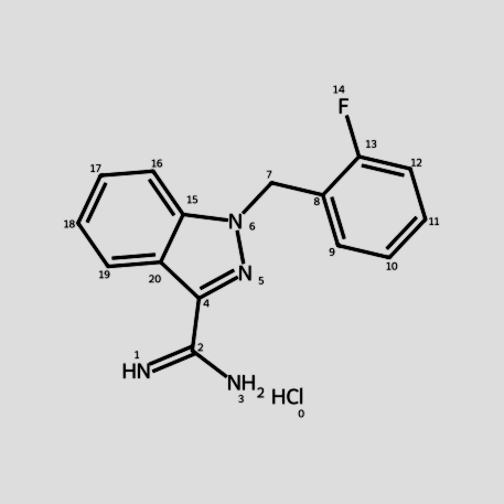 Cl.N=C(N)c1nn(Cc2ccccc2F)c2ccccc12